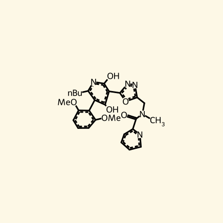 CCCCc1nc(O)c(-c2nnc(CN(C)C(=O)c3ccccn3)o2)c(O)c1-c1c(OC)cccc1OC